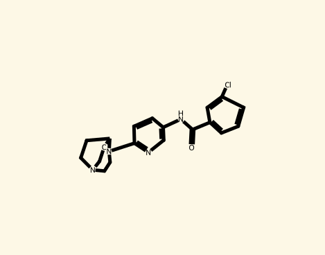 O=C(Nc1ccc(N2CCN3CCC2CC3)nc1)c1cccc(Cl)c1